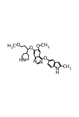 COCCC(Oc1cc2ncnc(Oc3ccc4[nH]c(C)cc4c3)c2cc1OC)C1CCNCC1